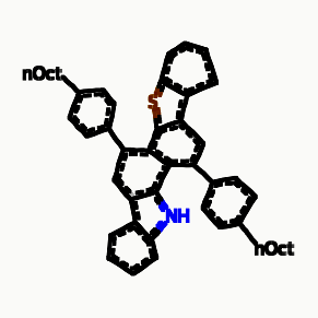 CCCCCCCCc1ccc(-c2cc3c4ccccc4sc3c3c(-c4ccc(CCCCCCCC)cc4)cc4c5ccccc5[nH]c4c23)cc1